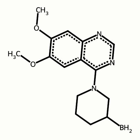 BC1CCCN(c2ncnc3cc(OC)c(OC)cc23)C1